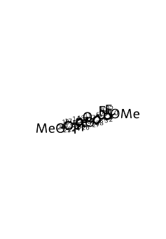 COc1ccc(-c2ccc(OC(=O)c3ccc(C4CCC(OC)CC4)c(F)c3F)cc2)c(F)c1F